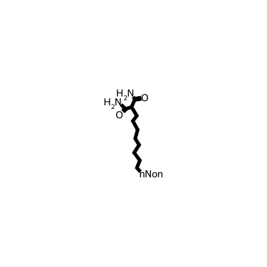 CCCCCCCCCCCCCCCCC[C](C(N)=O)C(N)=O